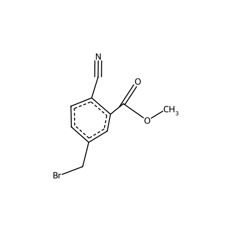 COC(=O)c1cc(CBr)ccc1C#N